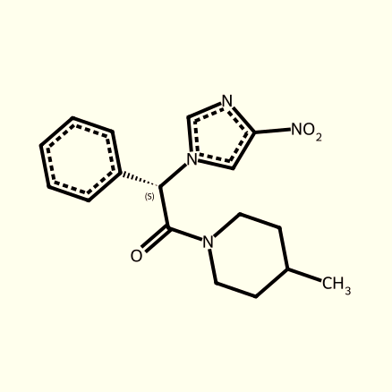 CC1CCN(C(=O)[C@H](c2ccccc2)n2cnc([N+](=O)[O-])c2)CC1